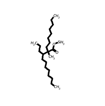 CCCCCCCCC(CCC)C(C)(CCCCCCCC)C(=O)O[SiH3]